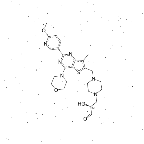 COc1ccc(-c2nc(N3CCOCC3)c3sc(CN4CCN(C[C@H](O)C=O)CC4)c(C)c3n2)cn1